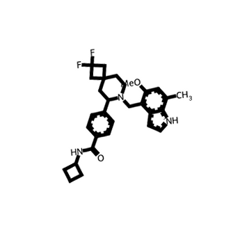 COc1cc(C)c2[nH]ccc2c1CN1CCC2(CC1c1ccc(C(=O)NC3CCC3)cc1)CC(F)(F)C2